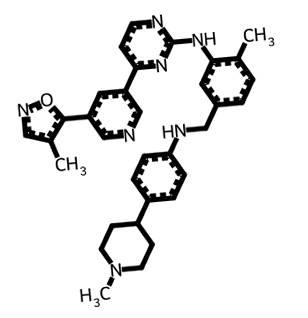 Cc1ccc(CNc2ccc(C3CCN(C)CC3)cc2)cc1Nc1nccc(-c2cncc(-c3oncc3C)c2)n1